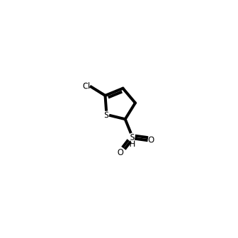 O=[SH](=O)C1CC=C(Cl)S1